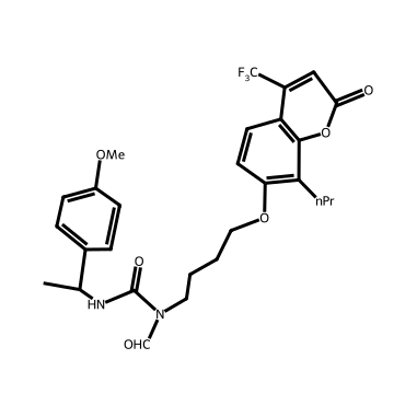 CCCc1c(OCCCCN(C=O)C(=O)NC(C)c2ccc(OC)cc2)ccc2c(C(F)(F)F)cc(=O)oc12